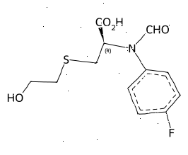 O=CN(c1ccc(F)cc1)[C@@H](CSCCO)C(=O)O